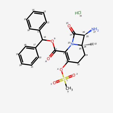 CS(=O)(=O)OC1=C(C(=O)OC(c2ccccc2)c2ccccc2)N2C(=O)[C@@H](N)[C@H]2CC1.Cl